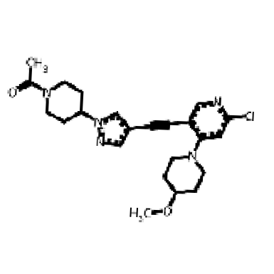 COC1CCN(c2cc(Cl)ncc2C#Cc2cnn(C3CCN(C(C)=O)CC3)c2)CC1